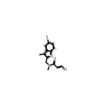 CC/C=C/C(=O)N(C)Cc1oc2ccc(F)cc2c1C